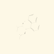 CNC[C@H](c1cccc2ccccc12)[C@H](O)C(C)C